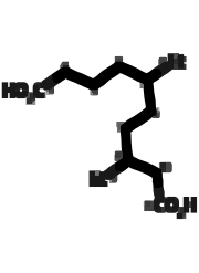 CCC(CCCC(=O)O)CCC(CC)CC(=O)O